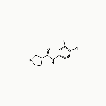 O=C(Nc1ccc(Cl)c(F)c1)C1CCNC1